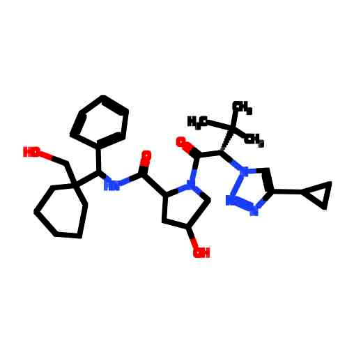 CC(C)(C)[C@@H](C(=O)N1CC(O)CC1C(=O)NC(c1ccccc1)C1(CO)CCCCC1)n1cc(C2CC2)nn1